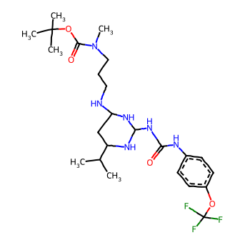 CC(C)C1CC(NCCCN(C)C(=O)OC(C)(C)C)NC(NC(=O)Nc2ccc(OC(F)(F)F)cc2)N1